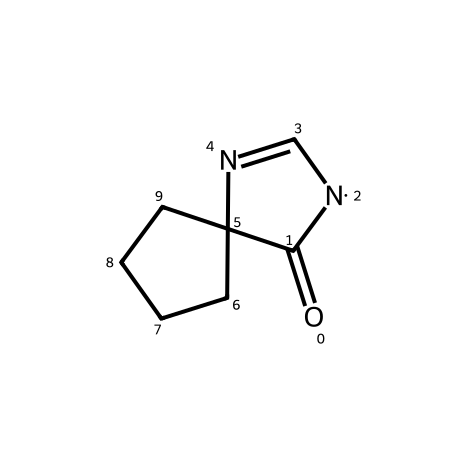 O=C1[N]C=NC12CCCC2